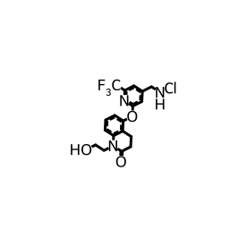 O=C1CCc2c(Oc3cc(CNCl)cc(C(F)(F)F)n3)cccc2N1CCO